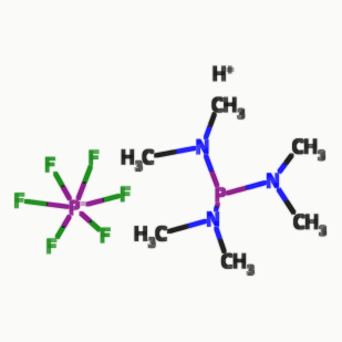 CN(C)P(N(C)C)N(C)C.F[P-](F)(F)(F)(F)F.[H+]